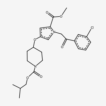 COC(=O)c1cc(OC2CCN(C(=O)OCC(C)C)CC2)cn1CC(=O)c1cccc(Cl)c1